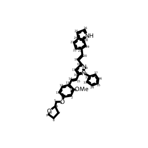 COc1cc(OCC2CCCO2)ccc1C=Cc1cc(C=Cc2ccc3cc[nH]c3c2)nn1-c1ccccc1